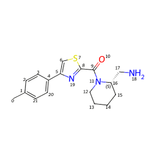 Cc1ccc(-c2csc(C(=O)N3CCCC[C@H]3CN)n2)cc1